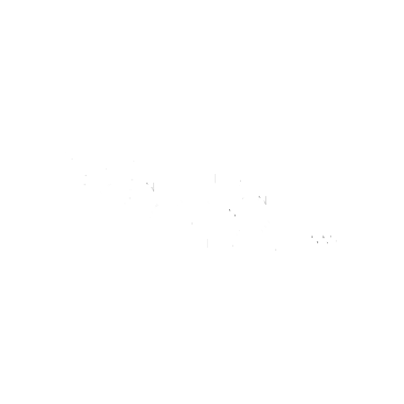 CNc1ccc2c(=O)n(-c3c(F)cc(C(=O)NS(=O)(=O)c4ccc(Cl)s4)cc3F)c(=O)[nH]c2c1